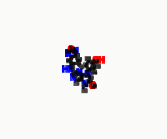 Cc1cc2nonc2cc1Nc1ncc2c(n1)N(C13CCC(O)(CC1)C3)CC(=O)N2C